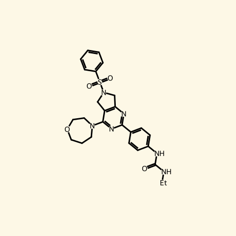 CCNC(=O)Nc1ccc(-c2nc3c(c(N4CCCOCC4)n2)CN(S(=O)(=O)c2ccccc2)C3)cc1